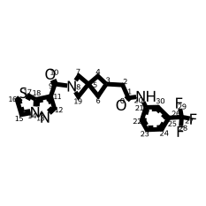 O=C(CC1CC2(C1)CN(C(=O)c1cnn3ccsc13)C2)Nc1cccc(C(F)(F)F)c1